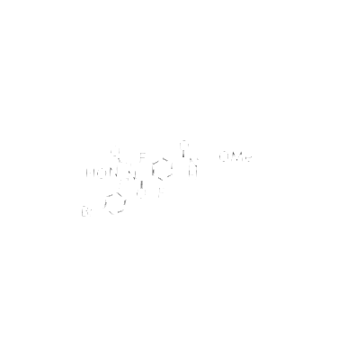 COCCNC(=O)c1cc(F)c(C(=O)N2CC(=O)N(O)C2c2cccc(Br)c2)c(F)c1